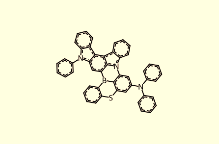 c1ccc(N(c2ccccc2)c2cc3c4c(c2)-n2c5ccccc5c5c6c7ccccc7n(-c7ccccc7)c6cc(c52)B4c2ccccc2S3)cc1